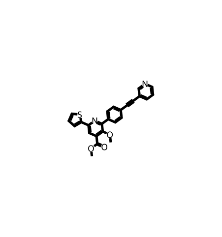 COC(=O)c1cc(-c2cccs2)nc(-c2ccc(C#Cc3cccnc3)cc2)c1OC